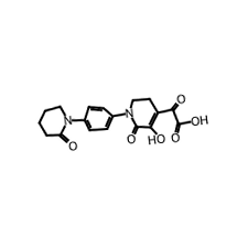 O=C(O)C(=O)C1=C(O)C(=O)N(c2ccc(N3CCCCC3=O)cc2)CC1